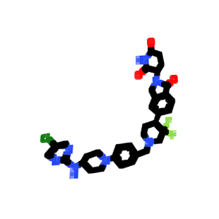 O=C1CCC(N2Cc3cc([C@@H]4CCN(Cc5ccc(N6CCC(Nc7ncc(Cl)cn7)CC6)cc5)CC4(F)F)ccc3C2=O)C(=O)N1